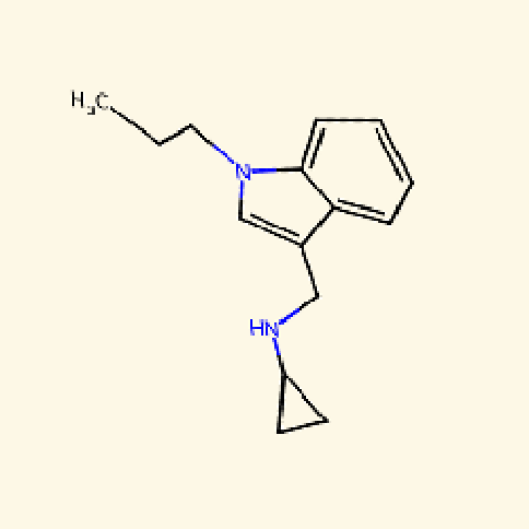 CCCn1cc(CNC2CC2)c2ccccc21